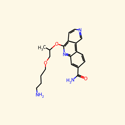 CC(COCCCCN)Oc1nc2cc(C(N)=O)ccc2c2cnccc12